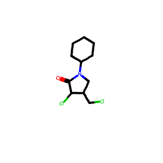 O=C1C(Cl)C(CCl)CN1C1CCCCC1